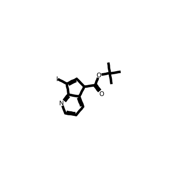 CC(C)(C)OC(=O)C1C=C(I)c2ncccc21